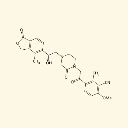 COc1ccc(C(=O)CN2CCN(C[C@@H](O)c3ccc4c(c3C)COC4=O)CC2=O)c(C)c1C#N